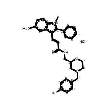 COc1ccc2c(c1)c(C=CC(=O)NCC1CN(Cc3ccc(F)cc3)CCO1)c(-c1ccccc1)n2C.Cl